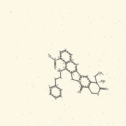 CC[C@@]1(O)C(=O)OCc2c1cc1n(c2=O)Cc2c-1nc1cccc([N+](=O)[O-])c1c2NCCc1ccccn1